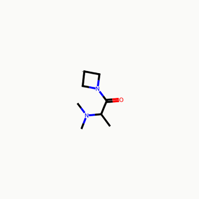 CC(C(=O)N1C[CH]C1)N(C)C